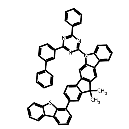 CC1(C)c2cc(-c3cccc4c3sc3ccccc34)ccc2-c2cc3c(cc21)c1ccccc1n3-c1nc(-c2ccccc2)nc(-c2cccc(-c3ccccc3)c2)n1